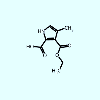 CCOC(=O)c1c(C)c[nH]c1C(=O)O